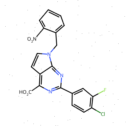 O=C(O)c1nc(-c2ccc(Cl)c(F)c2)nc2c1ccn2Cc1ccccc1[N+](=O)[O-]